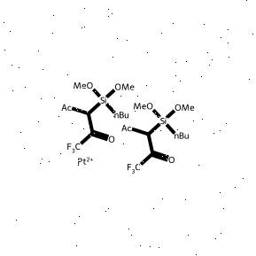 CCCC[Si](OC)(OC)C(C(C)=O)C(=O)C(F)(F)F.CCCC[Si](OC)(OC)C(C(C)=O)C(=O)C(F)(F)F.[Pt+2]